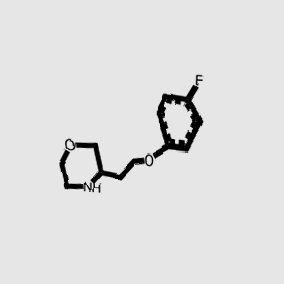 Fc1ccc(OCCC2COCCN2)cc1